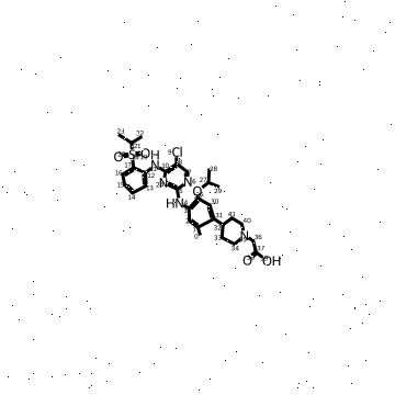 Cc1cc(Nc2ncc(Cl)c(Nc3ccccc3S(=O)(=O)C(C)C)n2)c(OC(C)C)cc1C1CCN(CC(=O)O)CC1